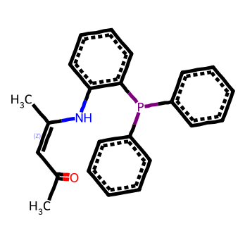 CC(=O)/C=C(/C)Nc1ccccc1P(c1ccccc1)c1ccccc1